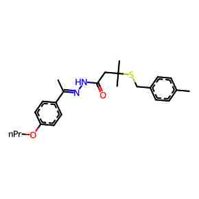 CCCOc1ccc(/C(C)=N/NC(=O)CC(C)(C)SCc2ccc(C)cc2)cc1